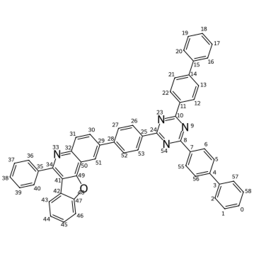 c1ccc(-c2ccc(-c3nc(-c4ccc(-c5ccccc5)cc4)nc(-c4ccc(-c5ccc6nc(-c7ccccc7)c7c8ccccc8oc7c6c5)cc4)n3)cc2)cc1